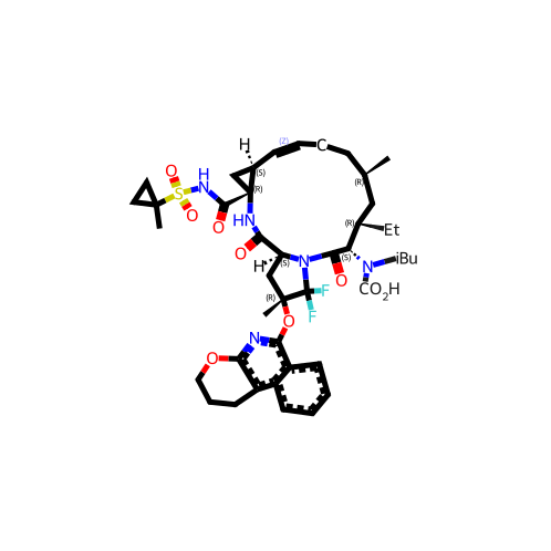 CCC(C)N(C(=O)O)[C@@H]1C(=O)N2[C@@H](C[C@@](C)(Oc3nc4c(c5ccccc35)CCCO4)C2(F)F)C(=O)N[C@]2(C(=O)NS(=O)(=O)C3(C)CC3)C[C@H]2/C=C\CC[C@@H](C)C[C@H]1CC